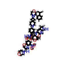 CC(C)c1ccccc1[C@@H]1COCCN1C1CC2(CCN(c3ccc(C(=O)NS(=O)(=O)c4cc5c(c([N+](=O)[O-])c4)N[C@H](CN4CCOCC4)CO5)c(N4c5cc6cc[nH]c6nc5O[C@H]5COCC[C@@H]54)c3)CC2)C1